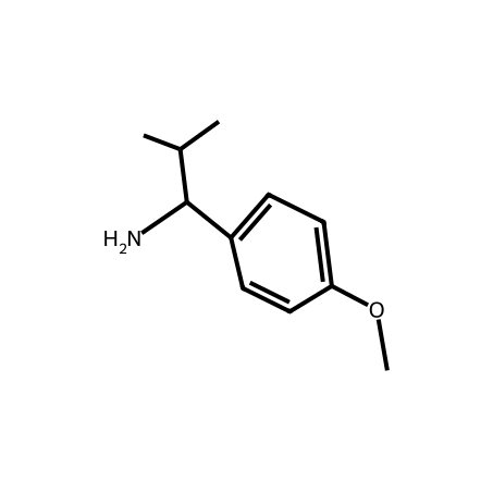 COc1ccc(C(N)C(C)C)cc1